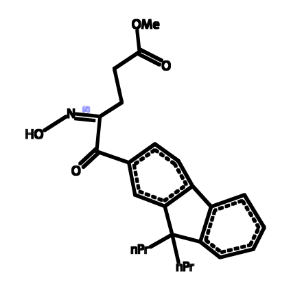 CCCC1(CCC)c2ccccc2-c2ccc(C(=O)/C(CCC(=O)OC)=N\O)cc21